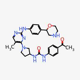 CC(=O)c1ccc(NC(=O)NC2CCN(c3nc(Nc4ccc(C5CNCCO5)cc4)ncc3C)C2)cc1